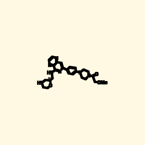 COCC(=O)N1CCN(c2ccc(-c3cc4nccnc4c(NC[C@@H]4CNCCO4)n3)cc2)CC1